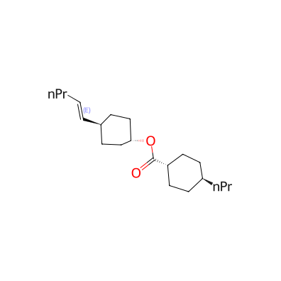 CCC/C=C/[C@H]1CC[C@H](OC(=O)[C@H]2CC[C@H](CCC)CC2)CC1